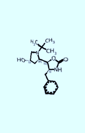 CC(C)(C)N1C[C@@H](O)C[C@@H]1[C@H]1OC(=O)N[C@H]1Cc1ccccc1